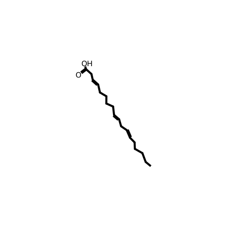 CCCCC/C=C/C/C=C/CCCC/C=C/CC(=O)O